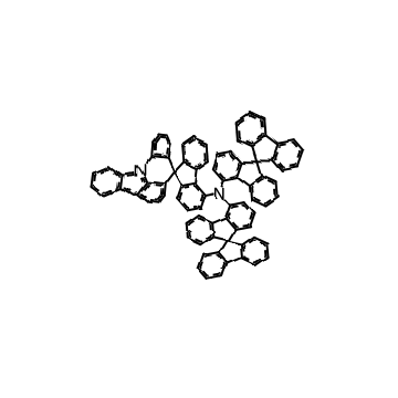 c1ccc2c(c1)-c1ccccc1C21c2ccccc2-c2c(N(c3cccc4c3-c3ccccc3C43c4ccccc4-c4ccccc43)c3cccc4c3-c3ccccc3C43c4ccccc4-n4c5ccccc5c5cccc3c54)cccc21